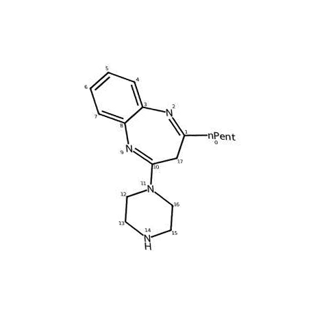 CCCCCC1=Nc2ccccc2N=C(N2CCNCC2)C1